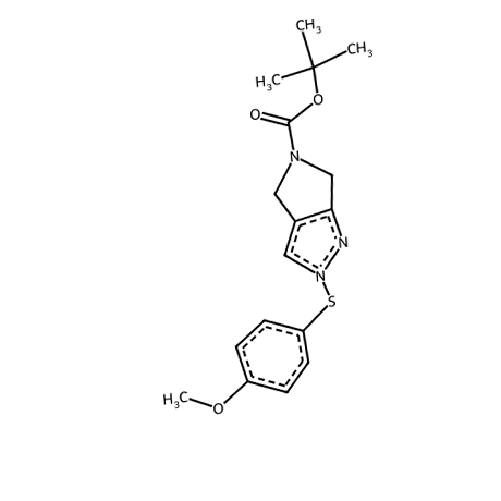 COc1ccc(Sn2cc3c(n2)CN(C(=O)OC(C)(C)C)C3)cc1